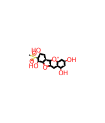 CS(=O)(=O)c1c(O)cc2c(oc3cc4c(O)cc(O)cc4[o+]c32)c1O